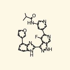 CC(C)C(=O)Nc1cncc(-c2ncc3[nH]nc(-c4nc5c(-c6ccoc6)cccc5[nH]4)c3c2F)c1